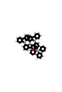 c1ccc([Si](c2ccccc2)(c2ccccc2)c2ccc(-n3c4ccccc4c4cccc(-n5c6ccccc6c6cccc(-n7c8ccccc8c8ccccc87)c65)c43)cc2)cc1